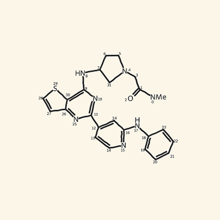 CNC(=O)CN1CCC(Nc2nc(-c3ccnc(Nc4ccccc4)c3)nc3ccsc23)C1